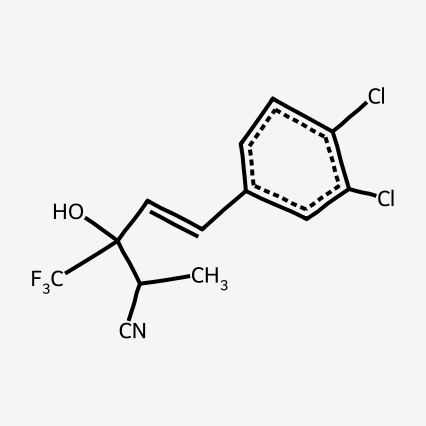 CC(C#N)C(O)(/C=C/c1ccc(Cl)c(Cl)c1)C(F)(F)F